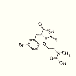 CN(CCOc1ccc(Br)cc1/C=C1\SC(=S)NC1=O)C(=O)O